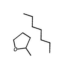 CC1CCCO1.CCCCCCC